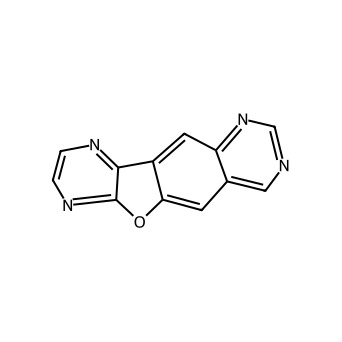 c1ncc2cc3oc4nccnc4c3cc2n1